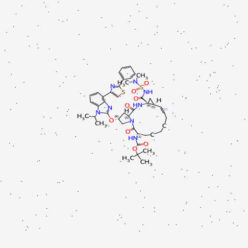 CC(C)n1c(O[C@@H]2C[C@H]3C(=O)N[C@]4(C(=O)NS(=O)(=O)N(C)C)C[C@H]4/C=C\CCCCC[C@H](NC(=O)OC(C)(C)C)C(=O)N3C2)nc2c(-c3csc(-c4ccccc4)n3)cccc21